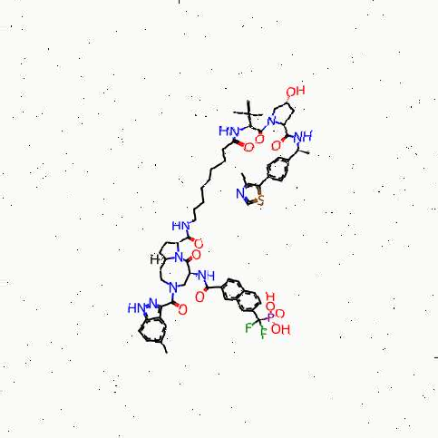 Cc1ccc2[nH]nc(C(=O)N3CC[C@H]4CC[C@@H](C(=O)NCCCCCCCCC(=O)N[C@H](C(=O)N5C[C@H](O)C[C@H]5C(=O)N[C@@H](C)c5ccc(-c6scnc6C)cc5)C(C)(C)C)N4C(=O)[C@@H](NC(=O)c4ccc5ccc(C(F)(F)P(=O)(O)O)cc5c4)C3)c2c1